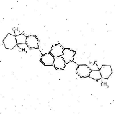 CC12CCCCC1(C)c1cc(-c3ccc4ccc5c(-c6ccc7c(c6)C6(C)CCCCC6(C)S7)ccc6ccc3c4c65)ccc1S2